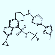 Cc1nnc(-c2ccc(NC3CCc4cc5cnc(C6CC6)cc5c(S(=O)(=O)NCC(C)(C)F)c4C3)cn2)o1